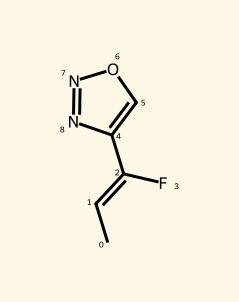 CC=C(F)c1conn1